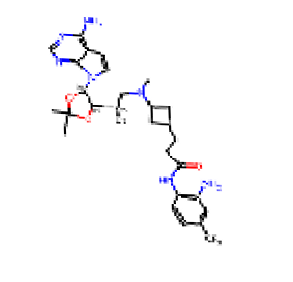 CC[C@H](CN(C)C1CC(CCC(=O)Nc2ccc(C(F)(F)F)cc2N)C1)[C@H]1OC(C)(C)O[C@H]1n1ccc2c(N)ncnc21